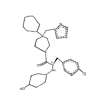 O=C([C@@H](Cc1ccc(Cl)cc1)NC1CCC(O)CC1)N1CCC(Cn2cncn2)(C2CCCCC2)CC1